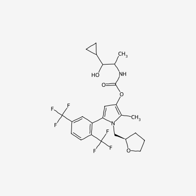 Cc1c(OC(=O)NC(C)C(O)C2CC2)cc(-c2cc(C(F)(F)F)ccc2C(F)(F)F)n1C[C@H]1CCCO1